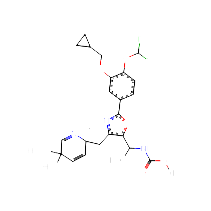 CC(NC(=O)OC(C)(C)C)c1oc(-c2ccc(OC(F)F)c(OCC3CC3)c2)nc1C[C@@]1(C(=O)O)C=CC(C)(C(=O)O)C=N1